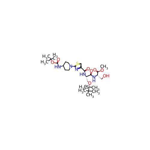 COC(=O)[C@H](CO)NC(=O)[C@H](CO[Si](C)(C)C(C)(C)C)NC(=O)c1csc(N2CCC(NC(=O)OC(C)(C)C)CC2)n1